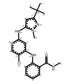 CNC(=O)c1ccccc1Nc1cc(Nc2cc(C(C)(C)C)nn2C)ncc1Cl